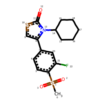 CS(=O)(=O)c1ccc(-c2csc(=O)n2C2CCCCC2)cc1F